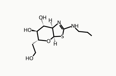 CCCNC1=N[C@@H]2[C@@H](O)[C@H](O)[C@@H](CCO)O[C@@H]2S1